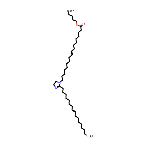 CCCCCCCCCCCCCCOC(=O)CCCCCCCC=CCCCCCCCCN1CCN=C1CCCCCCCC=CCCCCCCCC(=O)O